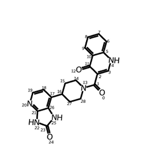 O=C(c1c[nH]c2ccccc2c1=O)N1CCC(c2ccnc3[nH]c(=O)[nH]c23)CC1